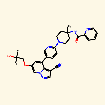 CC(C)(O)COc1cc(-c2ccc(N3CCC(C)(NC(=O)c4ccccn4)CC3)nc2)c2c(C#N)cnn2c1